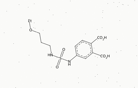 CCOCCCNS(=O)(=O)Nc1ccc(C(=O)O)c(C(=O)O)c1